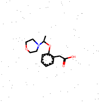 CC(Oc1ccccc1CC(=O)O)N1CCOCC1